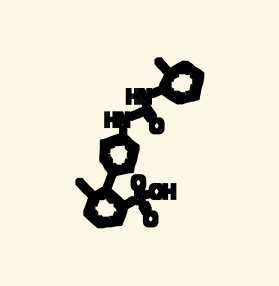 Cc1ccccc1NC(=O)Nc1ccc(-c2c(C)cccc2S(=O)(=O)O)cc1